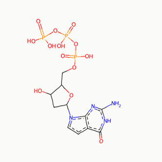 Nc1nc2c(ccn2C2CC(O)C(COP(=O)(O)OP(=O)(O)OP(=O)(O)O)O2)c(=O)[nH]1